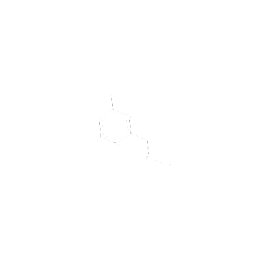 CC(C)(C)NCc1nc(Cl)cc(Cl)n1